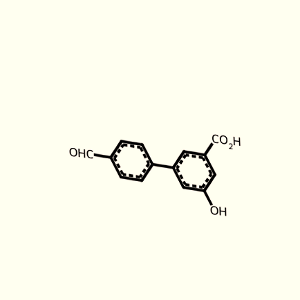 O=Cc1ccc(-c2cc(O)cc(C(=O)O)c2)cc1